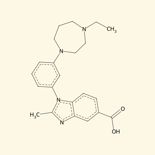 CCN1CCCN(c2cccc(-n3c(C)nc4cc(C(=O)O)ccc43)c2)CC1